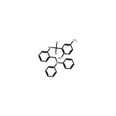 CCC(CC)(Pc1ccccc1CN(c1ccccc1)c1ccccc1)c1cc(C)ccc1O